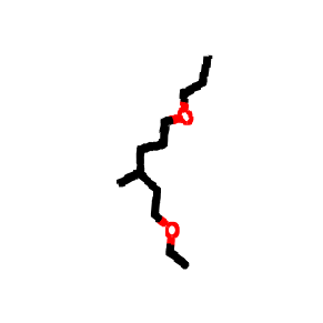 CCCOCCCC(C)CCOCC